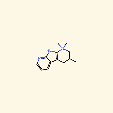 CC1Cc2c([nH]c3ncccc23)[N+](C)(C)C1